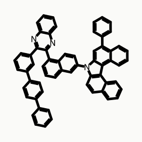 c1ccc(-c2ccc(-c3cccc(-c4nc5ccccc5nc4-c4cccc5cc(-n6c7ccc8ccccc8c7c7c8ccccc8c(-c8ccccc8)cc76)ccc45)c3)cc2)cc1